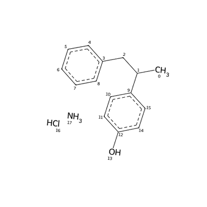 CC(Cc1ccccc1)c1ccc(O)cc1.Cl.N